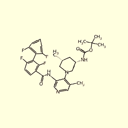 Cc1cncc(NC(=O)c2ccc(F)c(-c3c(F)cccc3F)c2F)c1N1C[C@H](C)C[C@H](NC(=O)OC(C)(C)C)C1